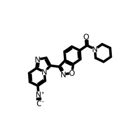 [C-]#[N+]c1ccc2ncc(-c3noc4cc(C(=O)N5CCCCC5)ccc34)n2c1